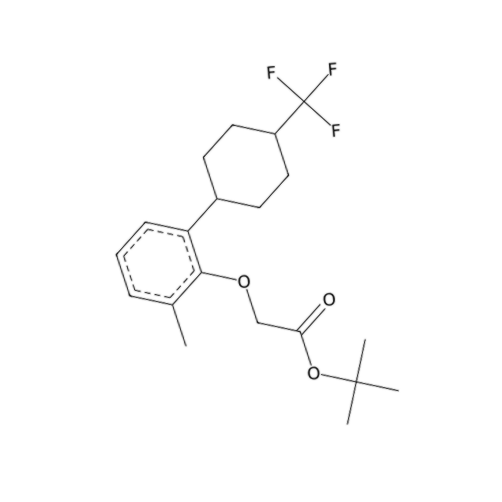 Cc1cccc(C2CCC(C(F)(F)F)CC2)c1OCC(=O)OC(C)(C)C